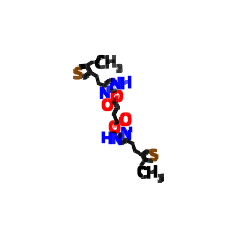 CCc1cscc1CCc1c[nH]c(OC(=O)/C=C/C(=O)Oc2nc(CCc3cscc3CC)c[nH]2)n1